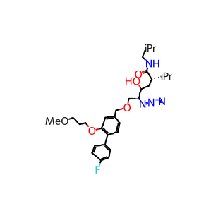 COCCCOc1cc(COC[C@H](N=[N+]=[N-])[C@@H](O)C[C@H](C(=O)NCC(C)C)C(C)C)ccc1-c1ccc(F)cc1